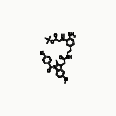 COc1ccc2c(c1)c(CC(=O)NCCc1ccc(N)c(NCC(=O)OC(C)(C)C)c1)c(C)n2C(=O)c1ccc(Cl)cc1